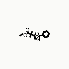 CCOC(=O)C(C)(C)c1cnc(-c2ccccc2)o1